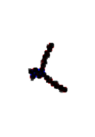 Cc1ccc(N(c2ccc(C)cc2)c2cc3c4ccccc4c(N(c4ccc(-c5ccc(-c6c(C)cc(-c7ccc8c(c7)C(C)(C)c7cc(-c9ccc%10c(c9)C(C)(C)c9ccccc9-%10)ccc7-8)cc6C)cc5)cc4)c4ccc(-c5ccc(-c6c(C)cc(-c7ccc8c(c7)C(C)(C)c7cc(-c9ccc%10c(c9)C(C)(C)c9ccccc9-%10)ccc7-8)cc6C)cc5)cc4)cc3c3ccccc23)cc1